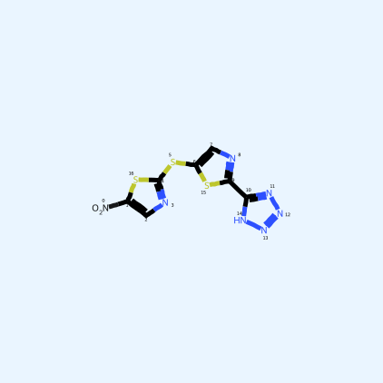 O=[N+]([O-])c1cnc(Sc2cnc(-c3nnn[nH]3)s2)s1